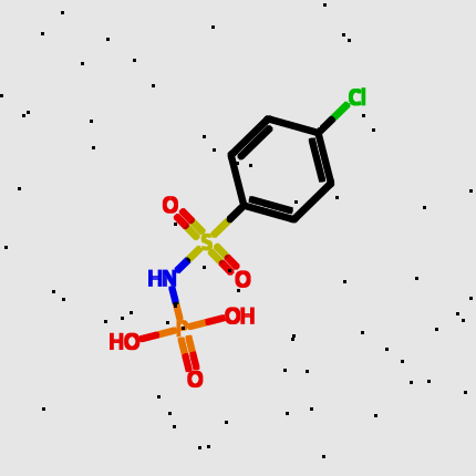 O=P(O)(O)NS(=O)(=O)c1ccc(Cl)cc1